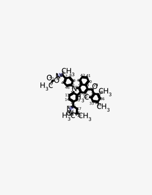 CC(=O)O/N=C(/C)c1ccc(-n2c3ccc(/C(CC(C)C)=N/O)cc3c3cc(C(=O)c4c(C)cc(C)cc4C)c4ccccc4c32)cc1